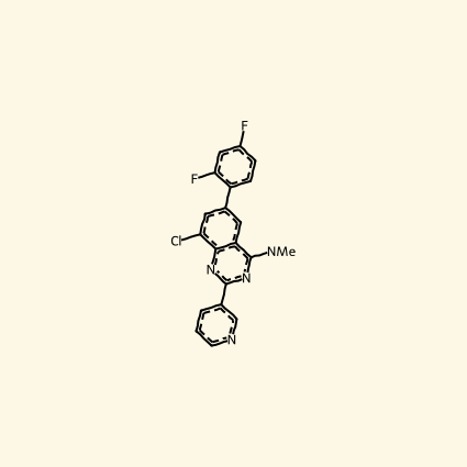 CNc1nc(-c2cccnc2)nc2c(Cl)cc(-c3ccc(F)cc3F)cc12